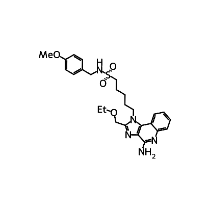 CCOCc1nc2c(N)nc3ccccc3c2n1CCCCCS(=O)(=O)NCc1ccc(OC)cc1